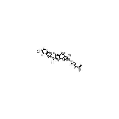 Cn1c(Nc2nc3ccc(Cl)cc3s2)nc2cc(C(=O)NCCOCC(F)F)ccc21